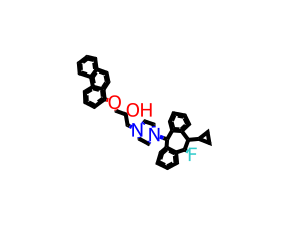 O[C@H](COc1cccc2c1ccc1ccccc12)CN1CCN(C2c3ccccc3C(F)C(C3CC3)c3ccccc32)CC1